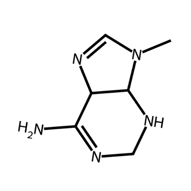 CN1C=NC2C(N)=NCNC21